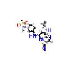 CS(=O)(=O)Nc1cccc(Nc2cc(NC3CC3)c3ncc(C#N)n3n2)c1